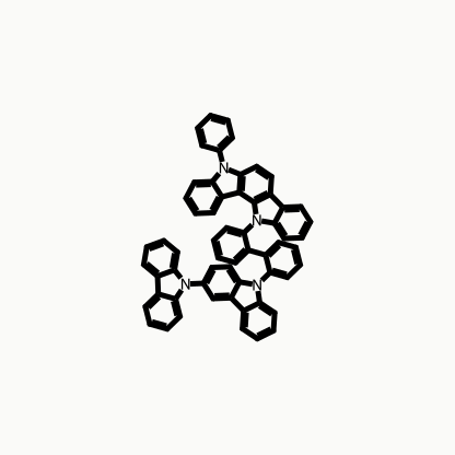 c1ccc(-n2c3ccccc3c3c2ccc2c4ccccc4n(-c4ccccc4-c4ccccc4-n4c5ccccc5c5cc(-n6c7ccccc7c7ccccc76)ccc54)c23)cc1